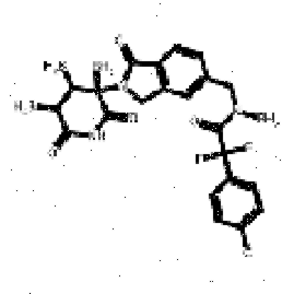 BC1C(=O)NC(=O)C(B)(N2Cc3cc(CN(B)C(=O)C(F)(F)c4ccc(Cl)cc4)ccc3C2=O)C1B